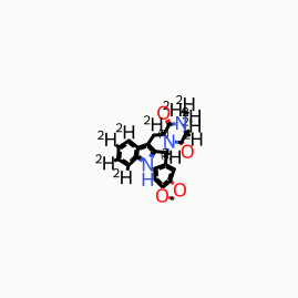 [2H]c1c([2H])c([2H])c2c3c([nH]c2c1[2H])[C@@]([2H])(c1ccc2c(c1)OCO2)N1C(=O)C([2H])([2H])N(C([2H])([2H])[2H])C(=O)[C@@]1([2H])C3